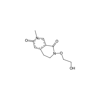 Cn1cc2c(cc1=O)CCN(OCCO)C2=O